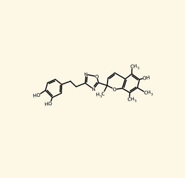 Cc1c(C)c2c(c(C)c1O)C=CC(C)(c1nc(CCc3ccc(O)c(O)c3)no1)O2